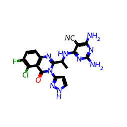 CC(Nc1nc(N)nc(N)c1C#N)c1nc2ccc(F)c(Cl)c2c(=O)n1-c1cc[nH]n1